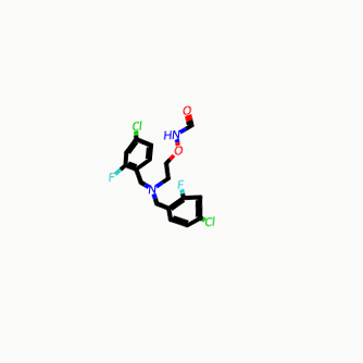 O=CNOCCN(Cc1ccc(Cl)cc1F)Cc1ccc(Cl)cc1F